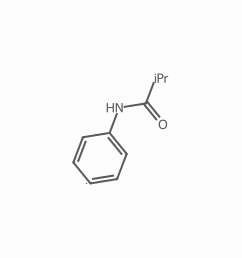 CC(C)C(=O)Nc1cc[c]cc1